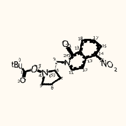 CC(C)(C)C(=O)ON1CCC[C@H]1Cn1ccc2c([N+](=O)[O-])cccc2c1=O